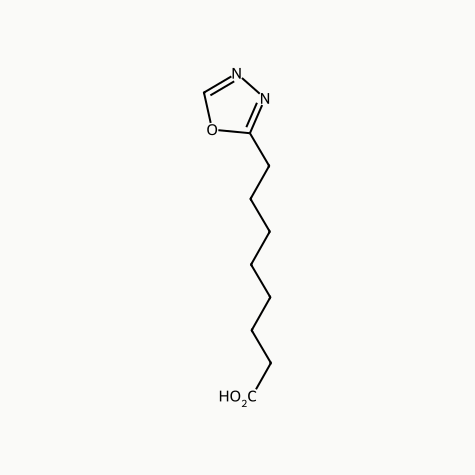 O=C(O)CCCCCCCc1nnco1